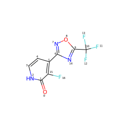 O=c1[nH]ccc(-c2noc(C(F)(F)F)n2)c1F